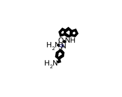 NCc1ccc(/S(N)=N/C(=O)Nc2c3c(cc4c2CCC4)CCC3)cc1